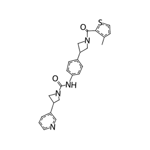 Cc1ccsc1C(=O)N1CC(c2ccc(NC(=O)N3CC(c4cccnc4)C3)cc2)C1